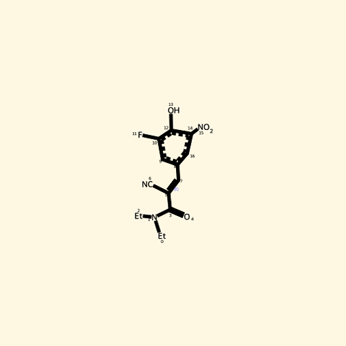 CCN(CC)C(=O)/C(C#N)=C/c1cc(F)c(O)c([N+](=O)[O-])c1